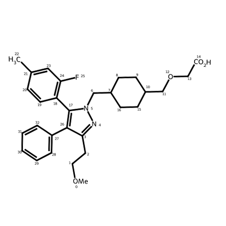 COCCc1nn(CC2CCC(COCC(=O)O)CC2)c(-c2ccc(C)cc2F)c1-c1ccccc1